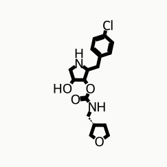 O=C(NC[C@@H]1CCOC1)OC1C(O)CNC1Cc1ccc(Cl)cc1